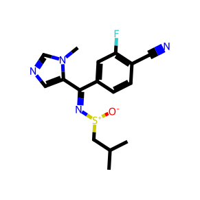 CC(C)C[S+]([O-])/N=C(\c1ccc(C#N)c(F)c1)c1cncn1C